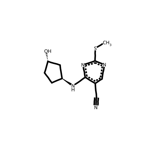 CSc1ncc(C#N)c(N[C@H]2CC[C@H](O)C2)n1